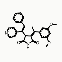 COc1cc(OC)cc(C(C)=C2C(=O)NC(=O)C2C(=Cc2ccccc2)c2ccncc2)c1